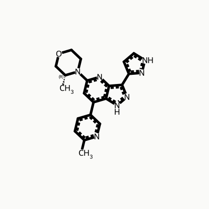 Cc1ccc(-c2cc(N3CCOC[C@H]3C)nc3c(-c4cc[nH]n4)n[nH]c23)cn1